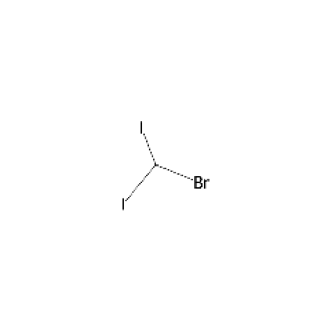 BrC(I)I